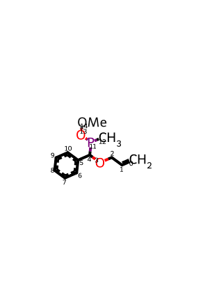 C=CCOC(c1ccccc1)P(C)OOC